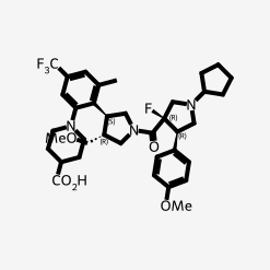 COC[C@H]1CN(C(=O)[C@]2(F)CN(C3CCCC3)C[C@H]2c2ccc(OC)cc2)C[C@@H]1c1c(C)cc(C(F)(F)F)cc1N1CCC(C(=O)O)CC1